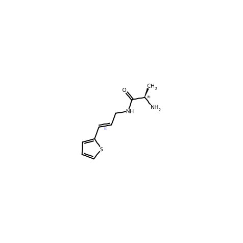 C[C@@H](N)C(=O)NC/C=C/c1cccs1